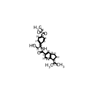 CCS(=O)(=O)c1ccc([C@H](CO)NC(=O)c2cnc3c(c2)CC[C@H]3C(C)C)cc1